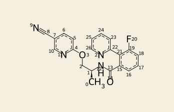 C[C@@H](COc1ccc(C#N)cn1)NC(=O)c1cccc(F)c1-c1ccccn1